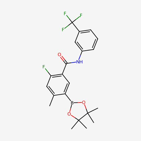 Cc1cc(F)c(C(=O)Nc2cccc(C(F)(F)F)c2)cc1B1OC(C)(C)C(C)(C)O1